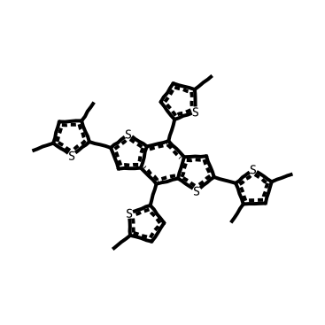 Cc1ccc(-c2c3cc(-c4sc(C)cc4C)sc3c(-c3ccc(C)s3)c3cc(-c4sc(C)cc4C)sc23)s1